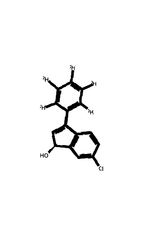 [2H]c1c([2H])c([2H])c(C2=C[C@H](O)c3cc(Cl)ccc32)c([2H])c1[2H]